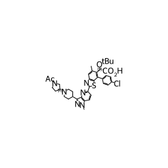 CC(=O)N1CC[C@@H](N2CCC(c3nn(C)c4ccc(-c5nc6cc(C)c([C@H](OC(C)(C)C)C(=O)O)c(-c7ccc(Cl)cc7)c6s5)nc34)CC2)C1